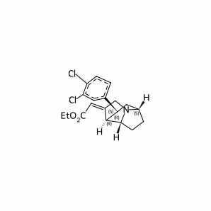 CCOC(=O)C=C1CN2[C@H]3CC[C@@H]2[C@@H]1[C@@H](c1ccc(Cl)c(Cl)c1)C3